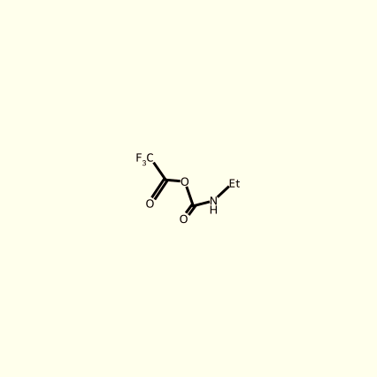 CCNC(=O)OC(=O)C(F)(F)F